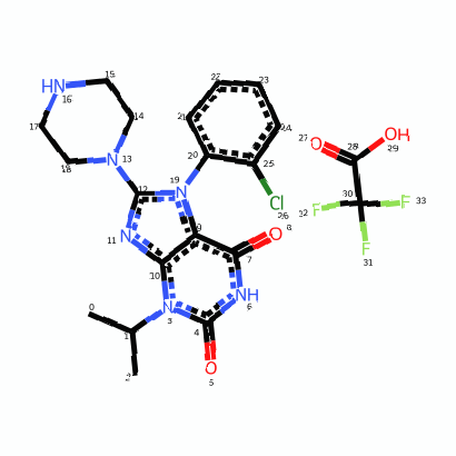 CC(C)n1c(=O)[nH]c(=O)c2c1nc(N1CCNCC1)n2-c1ccccc1Cl.O=C(O)C(F)(F)F